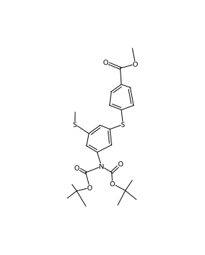 COC(=O)c1ccc(Sc2cc(SC)cc(N(C(=O)OC(C)(C)C)C(=O)OC(C)(C)C)c2)cc1